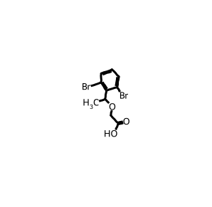 CC(OCC(=O)O)c1c(Br)cccc1Br